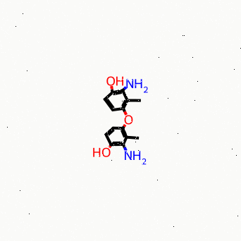 Cc1c(Oc2ccc(O)c(N)c2C)ccc(O)c1N